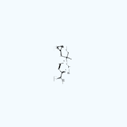 CC(CN)(CC1CC1)N1C=CC(C(F)F)=NC1